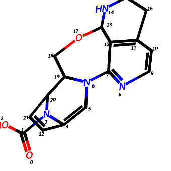 O=C(O)N1C2=CN3c4nccc5c4C(NCC5)OCC3C1C=C2